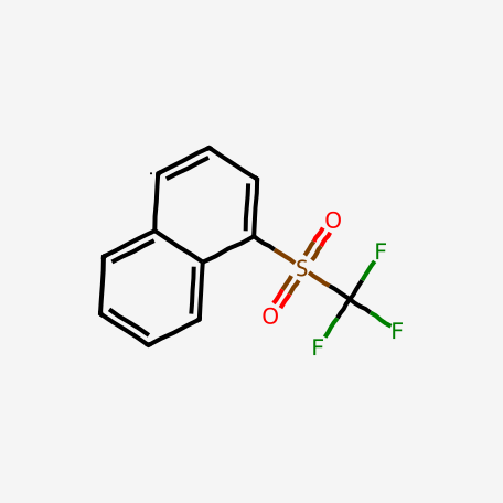 O=S(=O)(c1cc[c]c2ccccc12)C(F)(F)F